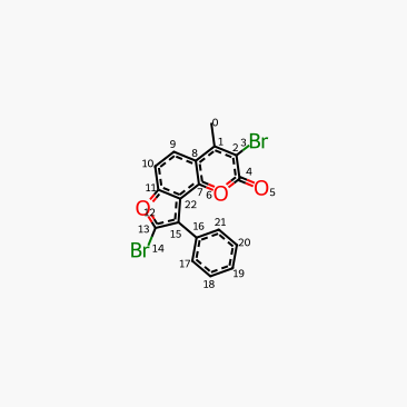 Cc1c(Br)c(=O)oc2c1ccc1oc(Br)c(-c3ccccc3)c12